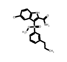 CCCc1cccc(P(=O)(OC)c2c(C(N)=O)[nH]c3ccc(Cl)cc23)c1